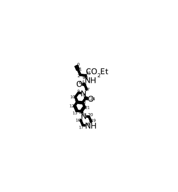 C#CC[C@H](NC(=O)CN1CCc2ccc(N3CCNCC3)cc2C1=O)C(=O)OCC